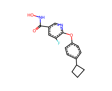 O=C(NO)c1cnc(Oc2ccc(C3CCC3)cc2)c(F)c1